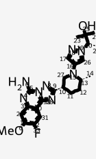 COc1cc2nc(N)n3nc([C@H]4CC[C@@H](C)N(c5cnn([C@@H](C)C(C)(C)O)c5)C4)nc3c2cc1F